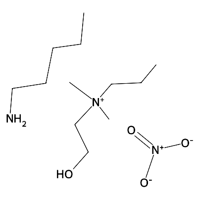 CCCCCN.CCC[N+](C)(C)CCO.O=[N+]([O-])[O-]